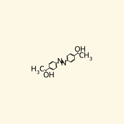 CC(O)c1ccc(N=Nc2ccc(C(C)O)cc2)cc1